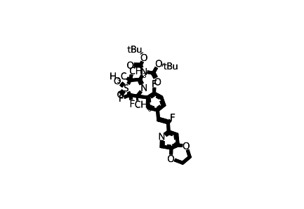 CC(C)(C)OC(=O)N(C(=O)OC(C)(C)C)C1=N[C@](C)(c2cc(/C=C(\F)c3cc4c(cn3)OCCO4)ccc2F)C(F)(F)S(=O)(=O)C1(C)C